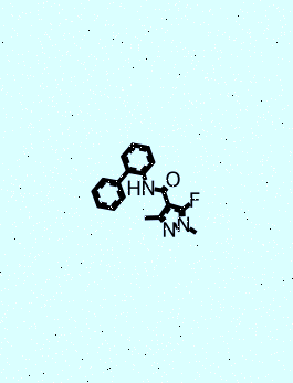 Cc1nn(C)c(F)c1C(=O)Nc1ccccc1-c1ccccc1